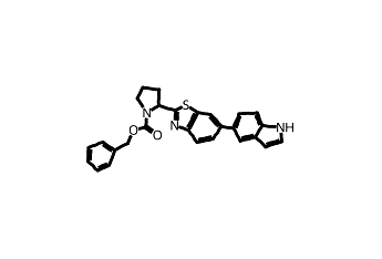 O=C(OCc1ccccc1)N1CCCC1c1nc2ccc(-c3ccc4[nH]ccc4c3)cc2s1